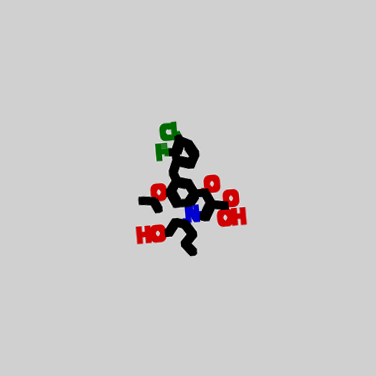 CCCC(CCO)n1cc(C(=O)O)c(=O)c2cc(Cc3cccc(Cl)c3F)c(OC(C)C)cc21